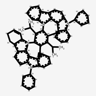 CC(C)c1c(C#N)c(-n2c3c(c4ccc5c(c6ccccc6n5-c5ccccc5)c42)CCC=C3)c(C(C)C)c(-n2c3ccccc3c3ccc4c(c5ccccc5n4-c4ccccc4)c32)c1C#N